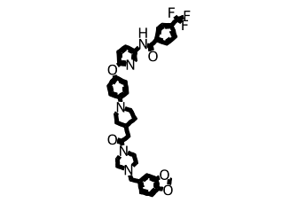 O=C(Nc1ccc(Oc2ccc(N3CCC(CC(=O)N4CCN(Cc5ccc6c(c5)OCO6)CC4)CC3)cc2)nc1)c1ccc(C(F)(F)F)cc1